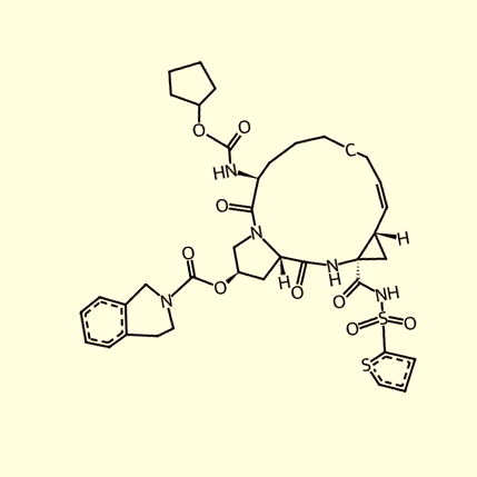 O=C(N[C@H]1CCCCC/C=C\[C@@H]2C[C@@]2(C(=O)NS(=O)(=O)c2cccs2)NC(=O)[C@@H]2C[C@@H](OC(=O)N3CCc4ccccc4C3)CN2C1=O)OC1CCCC1